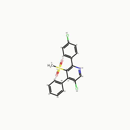 CS(=O)(=O)c1c(-c2ccc(Cl)cc2)ncc(Cl)c1-c1ccccc1